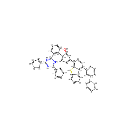 c1ccc(-c2cccc(-c3ccc(-c4ccc5c(c4)oc4cccc(-c6nc(-c7ccccc7)nc(-c7ccccc7)n6)c45)c4sc5ccccc5c34)c2)cc1